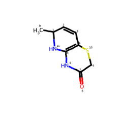 CC1C=CC2=C(NC(=O)CS2)N1